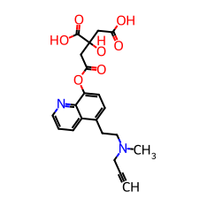 C#CCN(C)CCc1ccc(OC(=O)CC(O)(CC(=O)O)C(=O)O)c2ncccc12